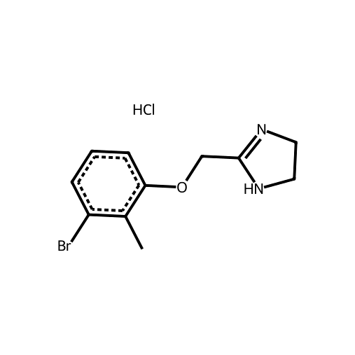 Cc1c(Br)cccc1OCC1=NCCN1.Cl